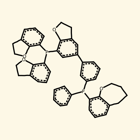 c1ccc(P(c2cccc(-c3cc4c(c(P(c5cccc6c5OCC6)c5cccc6c5OCC6)c3)OCC4)c2)c2cccc3c2OCCCC3)cc1